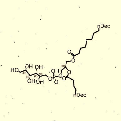 CCCCCCCCCCCCCCCCCC(=O)OC[C@H](COP(=O)(O)OC[C@@H](O)[C@@H](O)[C@H](O)[C@H](O)CO)OC(=O)CCCCCCCCCCCCC